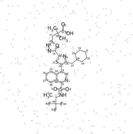 C[C@H](NS(=O)(=O)c1ncc(-c2sc(-c3nnc(CC(C)(C)C(=O)O)o3)nc2CC2CCCCC2)c2ccccc12)C(F)(F)F